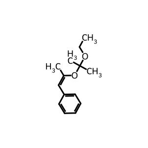 CCOC(C)(C)OC(C)=Cc1ccccc1